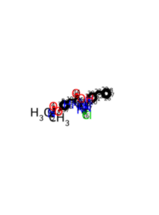 CN(C)C(=O)Oc1ccc(C[C@H](Nc2nc(Cl)nc(N3CCC(Cc4ccccc4)CC3)n2)C(=O)O)cc1